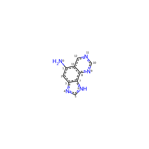 Nc1cc2nc[nH]c2c2ncncc12